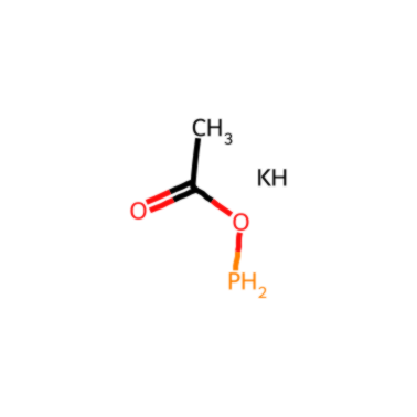 CC(=O)OP.[KH]